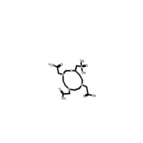 NC(=O)CN1CCC(CP(=O)(O)O)CCN(CC(=O)O)CCN(CC(=O)O)CC1